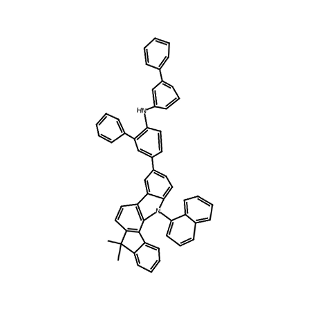 CC1(C)c2ccccc2-c2c1ccc1c3cc(-c4ccc(Nc5cccc(-c6ccccc6)c5)c(-c5ccccc5)c4)ccc3n(-c3cccc4ccccc34)c21